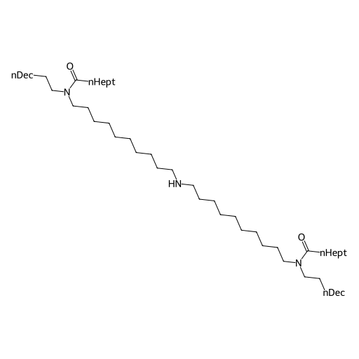 CCCCCCCCCCCCN(CCCCCCCCCCNCCCCCCCCCCN(CCCCCCCCCCCC)C(=O)CCCCCCC)C(=O)CCCCCCC